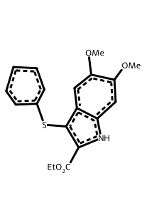 CCOC(=O)c1[nH]c2cc(OC)c(OC)cc2c1Sc1ccccc1